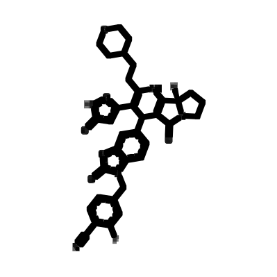 N#Cc1ccc(Cn2c(=O)oc3cc(C4C5=C(NC(CCC6CCOCC6)=C4c4cc(=O)[nH]o4)[C@@H]4CCCN4C5=O)ccc32)cc1F